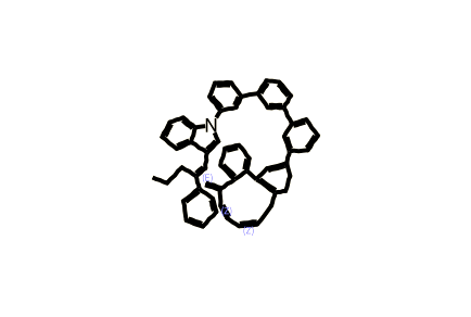 C=C1/C=C\C=C/CC2=C(C=C(c3cccc(-c4cccc(-c5cccc(-n6cc(/C=C(\CCC)c7ccccc7)c7ccccc76)c5)c4)c3)CC2)c2ccccc21